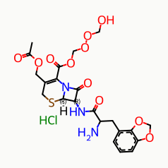 CC(=O)OCC1=C(C(=O)OCOOCO)N2C(=O)[C@@H](NC(=O)C(N)Cc3cccc4c3OCO4)[C@H]2SC1.Cl